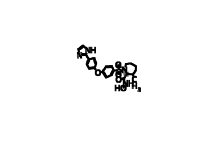 CC1CCCCN(S(=O)(=O)c2ccc(Oc3ccc(-c4ncc[nH]4)cc3)cc2)[C@@H]1C(=O)NO